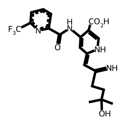 CC(C)(O)CCC(=N)/C=C1/C=C(NC(=O)c2cccc(C(F)(F)F)n2)C(C(=O)O)=CN1